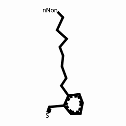 CCCCCCCCCCCCCCCCCc1ccccc1C=S